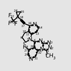 Cc1nnc2nc(N3CCCc4c3ccnc4C#CC3(C(F)(F)F)CC3)c3c(F)cncc3n12